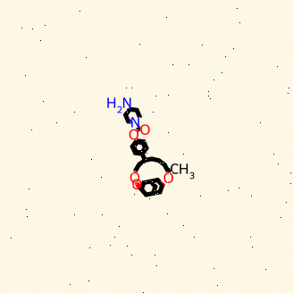 CC1CCCC(c2ccc(OC(=O)N3CCC(N)CC3)cc2)CCOOC2CC3CC(C2)CC(C3)O1